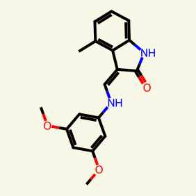 COc1cc(NC=C2C(=O)Nc3cccc(C)c32)cc(OC)c1